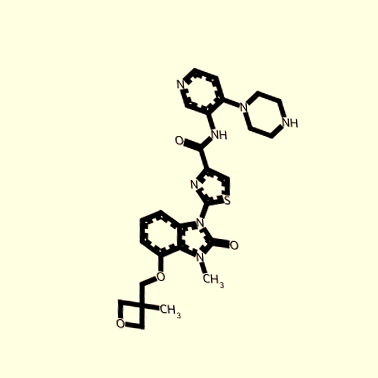 Cn1c(=O)n(-c2nc(C(=O)Nc3cnccc3N3CCNCC3)cs2)c2cccc(OCC3(C)COC3)c21